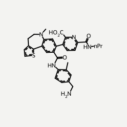 CCCNC(=O)c1ccc(-c2cc3c(cc2C(=O)Nc2ccc(CN)cc2C)-c2sccc2CCN3C)c(C(=O)O)n1